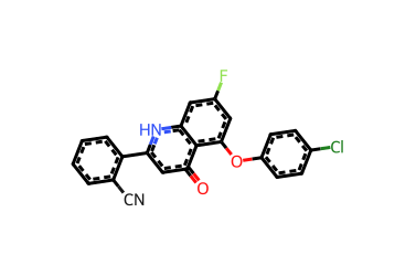 N#Cc1ccccc1-c1cc(=O)c2c(Oc3ccc(Cl)cc3)cc(F)cc2[nH]1